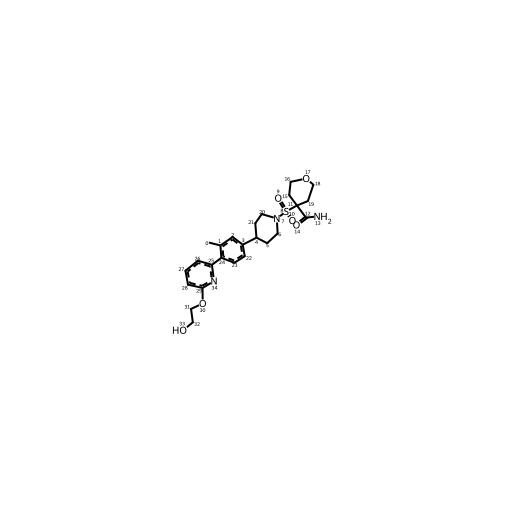 Cc1cc(C2CCN(S(=O)(=O)C3(C(N)=O)CCOCC3)CC2)ccc1-c1cccc(OCCO)n1